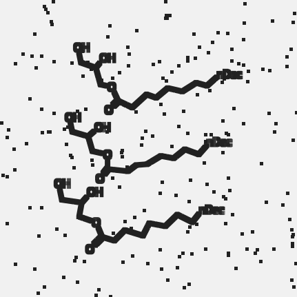 CCCCCCCCCCCCCCCCCC(=O)OCC(O)CO.CCCCCCCCCCCCCCCCCC(=O)OCC(O)CO.CCCCCCCCCCCCCCCCCC(=O)OCC(O)CO